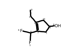 CCC1=C(C(F)F)CC(O)C1